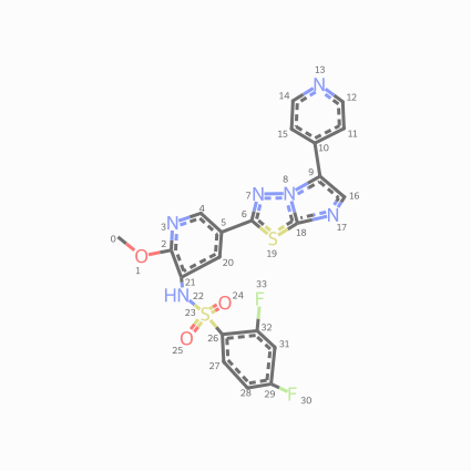 COc1ncc(-c2nn3c(-c4ccncc4)cnc3s2)cc1NS(=O)(=O)c1ccc(F)cc1F